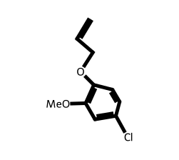 C=CCOc1ccc(Cl)cc1OC